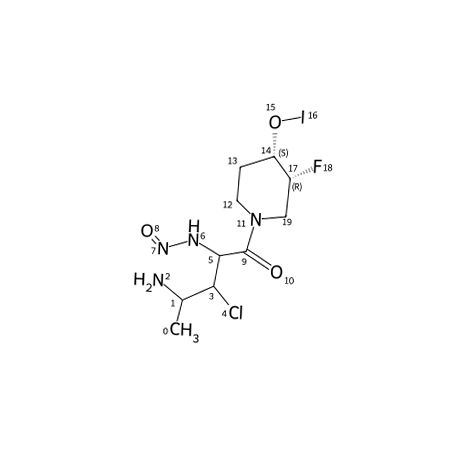 CC(N)C(Cl)C(NN=O)C(=O)N1CC[C@H](OI)[C@H](F)C1